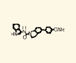 COc1ccc(-c2ccc3c(c2)CCN(C(=O)Nc2c[nH]c4ccccc24)C3)cc1